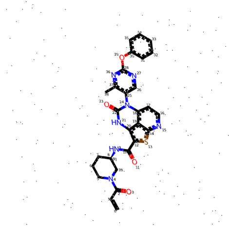 C=CC(=O)N1CCC[C@@H](NC(=O)c2sc3nccc4c3c2NC(=O)N4c2cnc(Oc3ccccc3)nc2C)C1